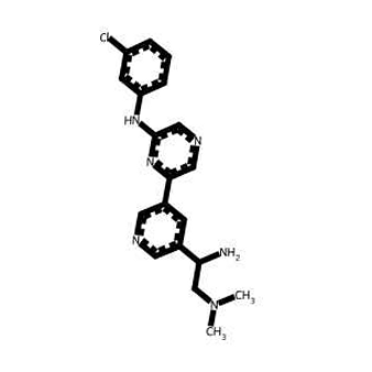 CN(C)CC(N)c1cncc(-c2cncc(Nc3cccc(Cl)c3)n2)c1